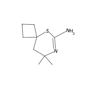 CC1(C)CC2(CCC2)SC(N)=N1